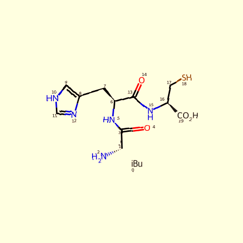 CC[C@H](C)[C@H](N)C(=O)N[C@@H](Cc1c[nH]cn1)C(=O)N[C@@H](CS)C(=O)O